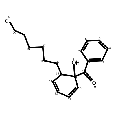 O=C(c1ccccc1)C1(O)C=CC=CC1CCCCCCCl